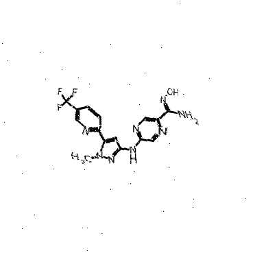 Cn1nc(Nc2cnc(/C(N)=N/O)cn2)cc1-c1ccc(C(F)(F)F)cn1